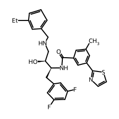 CCc1cccc(CNC[C@H](O)[C@H](Cc2cc(F)cc(F)c2)NC(=O)c2cc(C)cc(-c3nccs3)c2)c1